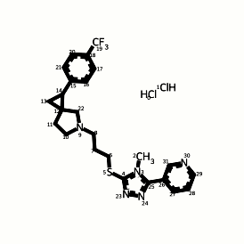 Cl.Cl.Cn1c(SCCCN2CCC3(CC3c3ccc(C(F)(F)F)cc3)C2)nnc1-c1cccnc1